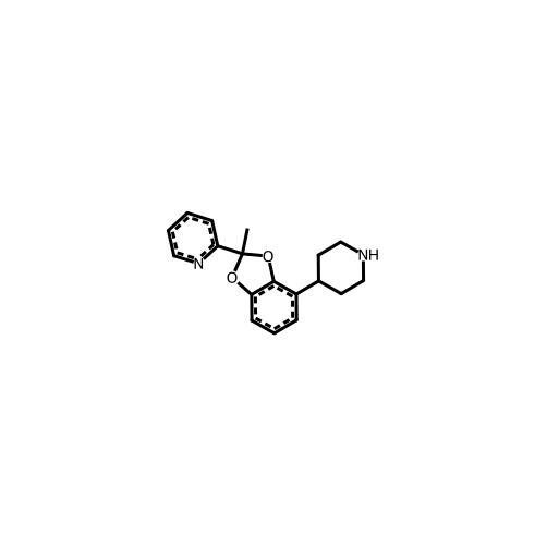 CC1(c2ccccn2)Oc2cccc(C3CCNCC3)c2O1